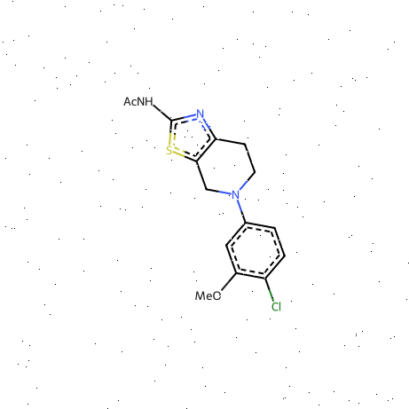 COc1cc(N2CCc3nc(NC(C)=O)sc3C2)ccc1Cl